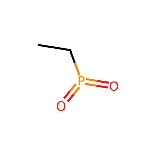 CCP(=O)=O